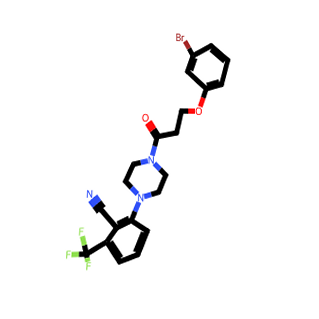 N#Cc1c(N2CCN(C(=O)CCOc3cccc(Br)c3)CC2)cccc1C(F)(F)F